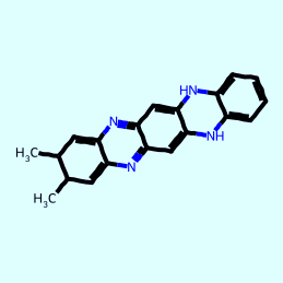 CC1C=c2nc3cc4c(cc3nc2=CC1C)Nc1ccccc1N4